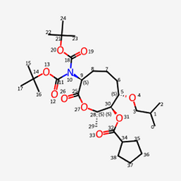 CC(C)CO[C@H]1CCC[C@H](N(C(=O)OC(C)(C)C)C(=O)OC(C)(C)C)C(=O)O[C@@H](C)[C@@H]1OC(=O)C1CCCC1